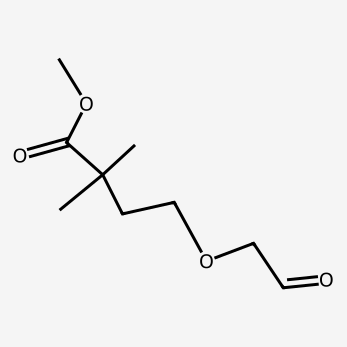 COC(=O)C(C)(C)CCOCC=O